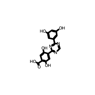 O=C(O)c1cc(O)c(-c2ncnc(-c3cc(O)cc(O)c3)n2)cc1O